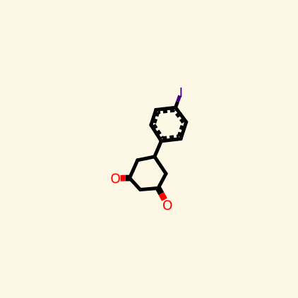 O=C1CC(=O)CC(c2ccc(I)cc2)C1